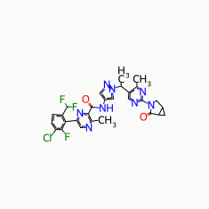 Cc1nc(N2CC3CC3C2=O)ncc1[C@H](C)n1cc(NC(=O)c2nc(-c3c(C(F)F)ccc(Cl)c3F)cnc2C)cn1